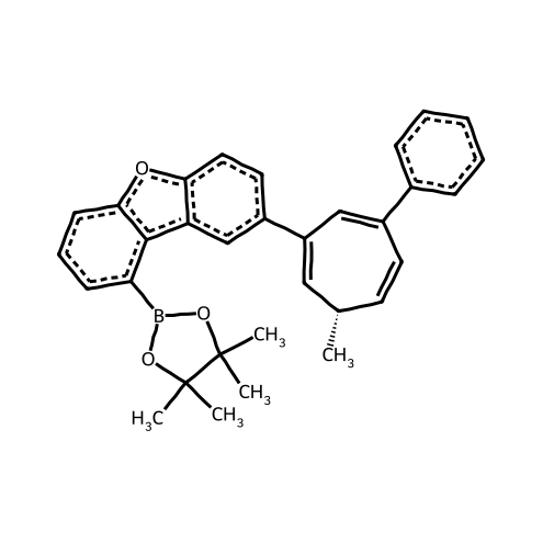 C[C@H]1C=CC(c2ccccc2)=CC(c2ccc3oc4cccc(B5OC(C)(C)C(C)(C)O5)c4c3c2)=C1